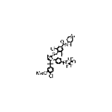 COc1cc(C(C)(C)c2cnc(SCc3c(F)cc(C(=O)NC4CC[N+](C)(C)CC4)cc3Cl)n2-c2ccc(F)cc2)ccc1Cl.O=C([O-])C(F)(F)F